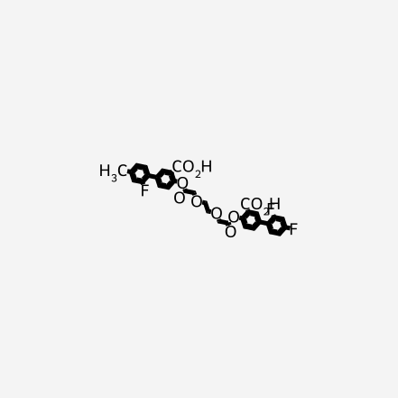 Cc1ccc(-c2ccc(OC(=O)COCCOCC(=O)Oc3ccc(-c4ccc(F)cc4F)cc3C(=O)O)c(C(=O)O)c2)c(F)c1